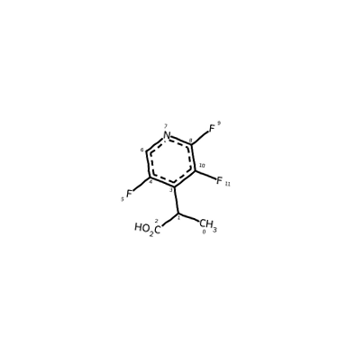 CC(C(=O)O)c1c(F)cnc(F)c1F